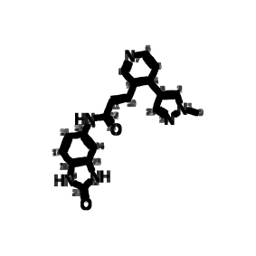 Cn1cc(-c2ccncc2C=CC(=O)Nc2ccc3[nH]c(=O)[nH]c3c2)cn1